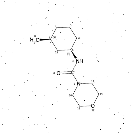 C[C@H]1CCC[C@@H](NC(=O)N2CCOCC2)C1